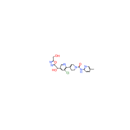 Cc1ccc(NC(=O)N2CC=C(c3ncc(C(O)c4nnc(CO)o4)cc3Cl)CC2)nc1